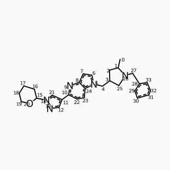 CC1CC(Cn2ccc3nc(-c4cnn(C5CCCCO5)c4)ccc32)CN1Cc1ccccc1